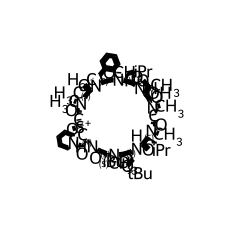 CC[C@H](C)[C@H]1C(=O)N[C@H](C(=O)N2CCCCC2)C[S+]([O-])CC(=O)N(C)[C@@H](C)C(=O)N(C)[C@@H](Cc2ccccc2)C(=O)N(C)[C@@H](CC(C)C)C(=O)N[C@@](O)([C@@H](C)O)C(=O)N(C)CC(=O)N(C)[C@@H](CC(C)C)C(=O)N[C@@H](COC(C)(C)C)C(=O)N1C